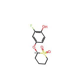 O=S1(=O)CCCC[C@H]1Oc1ccc(O)c(F)c1